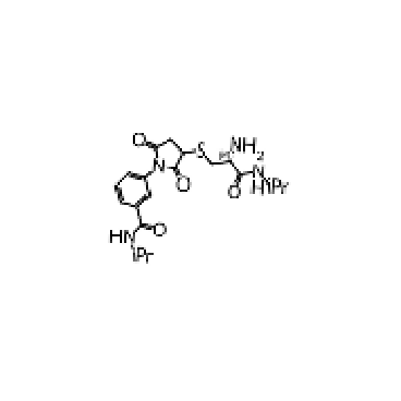 CC(C)NC(=O)c1cccc(N2C(=O)CC(SC[C@H](N)C(=O)NC(C)C)C2=O)c1